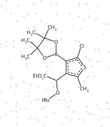 CCOC(=O)C(OC(C)(C)C)c1c(C)sc(Cl)c1B1OC(C)(C)C(C)(C)O1